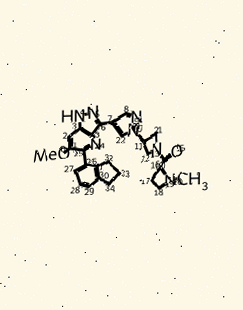 COc1cc2[nH]nc(-c3cnn(C4CN(C(=O)[C@@H]5CCN5C)C4)c3)c2nc1-c1cccc2c1CCC2